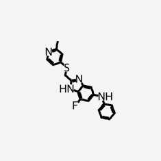 Cc1cc(SCc2nc3cc(Nc4ccccc4)cc(F)c3[nH]2)ccn1